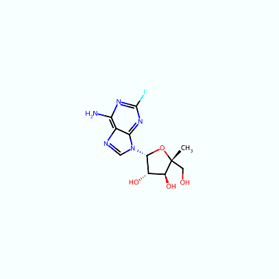 C[C@]1(CO)O[C@@H](n2cnc3c(N)nc(F)nc32)[C@@H](O)[C@@H]1O